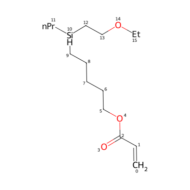 C=CC(=O)OCCCCC[SiH](CCC)CCOCC